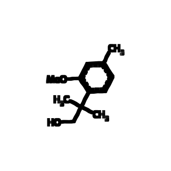 COc1cc(C)ccc1C(C)(C)CO